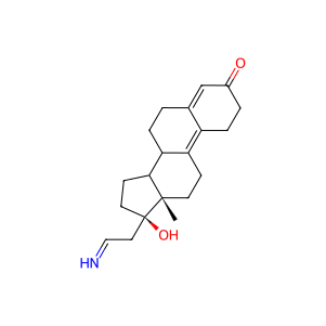 C[C@]12CCC3=C4CCC(=O)C=C4CCC3C1CC[C@@]2(O)CC=N